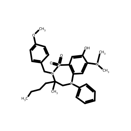 CCCCC1(C)CN(c2ccccc2)c2cc(N(C)C)c(O)cc2S(=O)(=O)N1Cc1ccc(OC)cc1